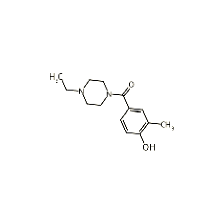 CCN1CCN(C(=O)c2ccc(O)c(C)c2)CC1